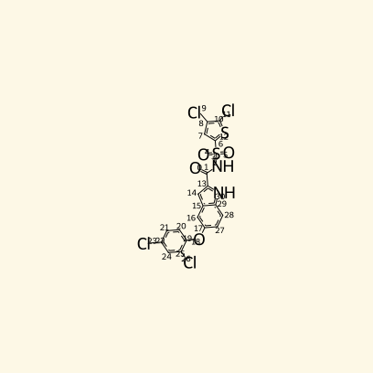 O=C(NS(=O)(=O)c1cc(Cl)c(Cl)s1)c1cc2cc(Oc3ccc(Cl)cc3Cl)ccc2[nH]1